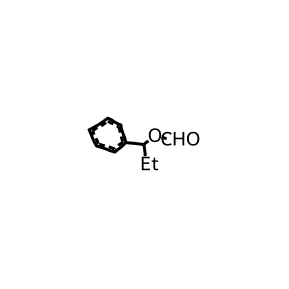 CCC(OC=O)c1ccccc1